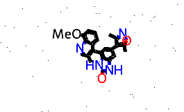 COc1cccc2c(-c3cc(-c4c(C)noc4C)cc4[nH]c(=O)[nH]c34)c(C)cnc12